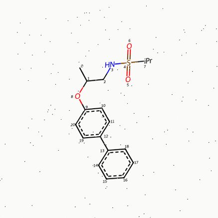 CC(CNS(=O)(=O)C(C)C)Oc1ccc(-c2ccccc2)cc1